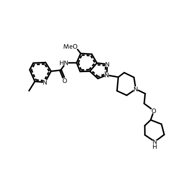 COc1cc2nn(C3CCN(CCOC4CCNCC4)CC3)cc2cc1NC(=O)c1cccc(C)n1